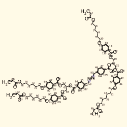 C=CC(=O)OCCCCCCOc1ccc(C(=O)OCC(COC(=O)c2ccc(OCCCCCCOC(=O)C=C)cc2)OC(=O)c2ccc(/C=N/N=C/c3ccc(C(=O)OC(COC(=O)c4ccc(OCCCCCCOC(=O)C=C)cc4)COC(=O)c4ccc(OCCCCCCOC(=O)C=C)cc4)cc3)cc2)cc1